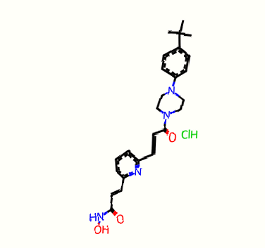 CC(C)(C)c1ccc(N2CCN(C(=O)C=Cc3cccc(C=CC(=O)NO)n3)CC2)cc1.Cl